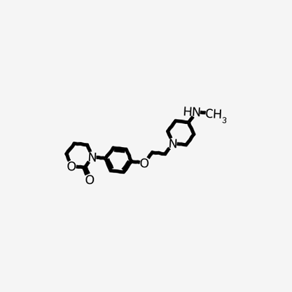 CNC1CCN(CCOc2ccc(N3CCCOC3=O)cc2)CC1